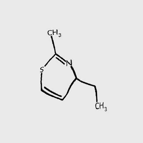 CCC1C=CSC(C)=N1